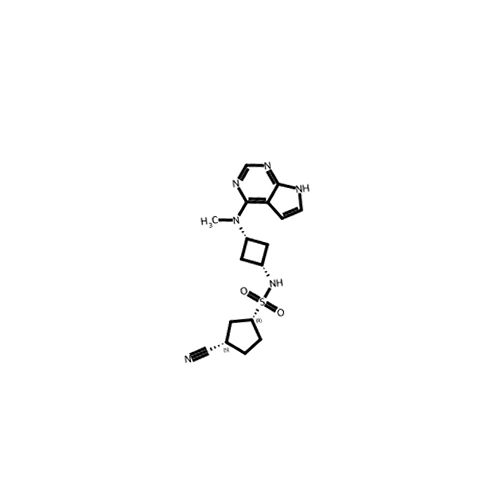 CN(c1ncnc2[nH]ccc12)[C@H]1C[C@@H](NS(=O)(=O)[C@@H]2CC[C@H](C#N)C2)C1